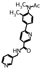 CC(=O)N(C)c1ccc(-c2ccc(C(=O)NCc3cccnc3)cn2)cc1C